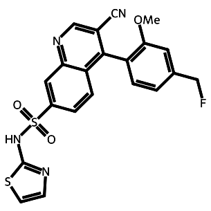 COc1cc(CF)ccc1-c1c(C#N)cnc2cc(S(=O)(=O)Nc3nccs3)ccc12